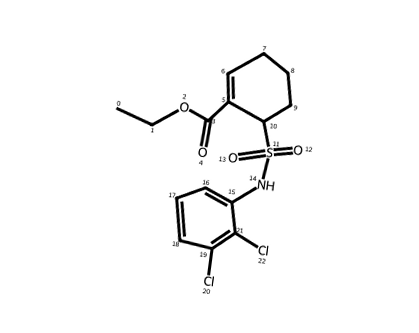 CCOC(=O)C1=CCCCC1S(=O)(=O)Nc1cccc(Cl)c1Cl